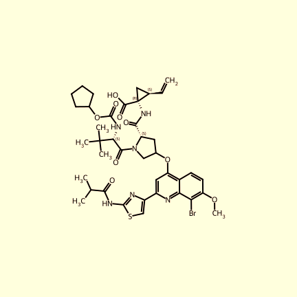 C=C[C@@H]1C[C@]1(NC(=O)[C@@H]1CC(Oc2cc(-c3csc(NC(=O)C(C)C)n3)nc3c(Br)c(OC)ccc23)CN1C(=O)[C@@H](NC(=O)OC1CCCC1)C(C)(C)C)C(=O)O